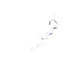 CCOC(=O)CN=Cc1ccc(F)cc1